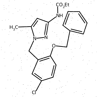 CCOC(=O)Nc1cc(C)n(Cc2cc(Cl)ccc2OCc2ccccc2)n1